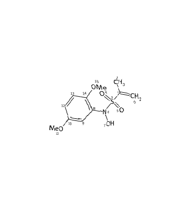 C=C(C)S(=O)(=O)N(O)c1cc(OC)ccc1OC